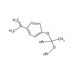 C=C(C)c1ccc(OC(C)(CCC)OCCC)cc1